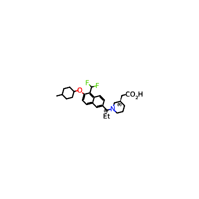 CC[C@H](c1ccc2c(C(F)F)c(OC3CCC(C)CC3)ccc2c1)N1CCC[C@H](CC(=O)O)C1